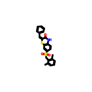 Cc1cccc(C)c1CS(=O)(=O)c1ccc2c(c1)S/C(=C/c1ccccc1)C(=O)N2